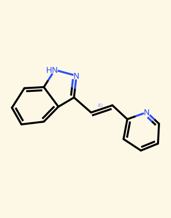 C(=C\c1n[nH]c2ccccc12)/c1ccccn1